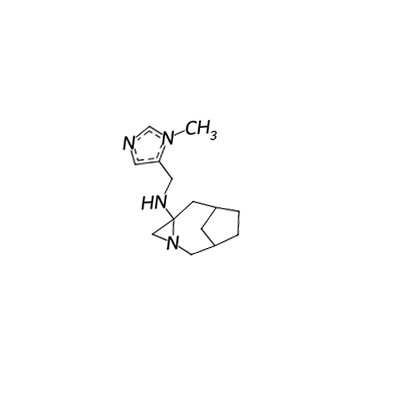 Cn1cncc1CNC12CC3CCC(C3)CN1C2